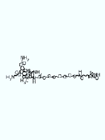 C[C@H](CCC(=O)NCCOCCOCCOCCOCCOCCOCCOCCOCCNC(=O)CCCC[C@H]1SCC2NC(=O)NC21)C1CCC2C3C(C[C@H](OC(=O)CCN)[C@@]21C)[C@@]1(C)CC[C@@H](OC(=O)CCN)CC1C[C@H]3OC(=O)CCN